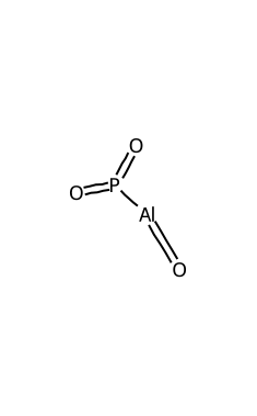 [O]=[Al][P](=O)=O